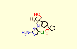 C[C@@]1(CO)CN(c2nc(N)ncc2Cl)c2cc(C3(O)CCCC3)ccc21